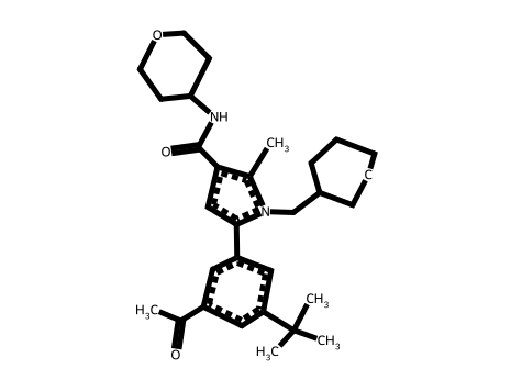 CC(=O)c1cc(-c2cc(C(=O)NC3CCOCC3)c(C)n2CC2CCCCC2)cc(C(C)(C)C)c1